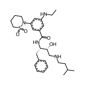 CCNc1cc(C(=O)N[C@@H](Cc2ccccc2)[C@H](O)CNCCC(C)C)cc(N2CCCCS2(=O)=O)c1